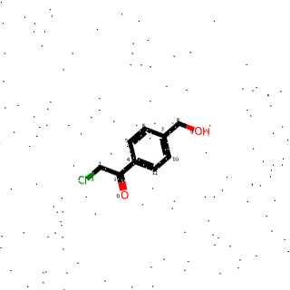 O=C(CCl)c1ccc(CO)cc1